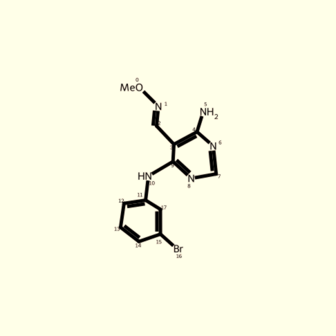 CON=Cc1c(N)ncnc1Nc1cccc(Br)c1